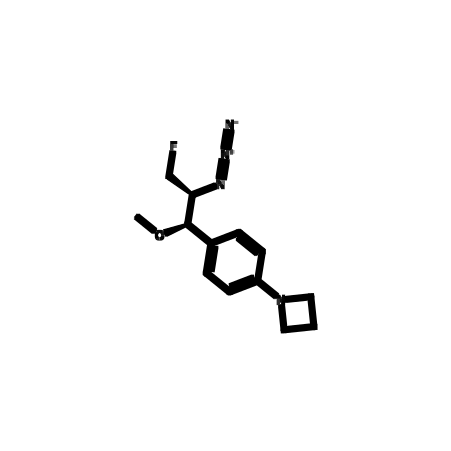 CO[C@H](c1ccc(N2CCC2)cc1)[C@@H](CF)N=[N+]=[N-]